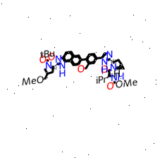 COCC1C[C@@H](c2nc3ccc4cc5c(cc4c3[nH]2)OCc2cc(-c3cnc([C@@H]4CC6C[C@H]6N4C(=O)[C@@H](NC(=O)OC)C(C)C)[nH]3)ccc2-5)N(C(=O)OC(C)(C)C)C1